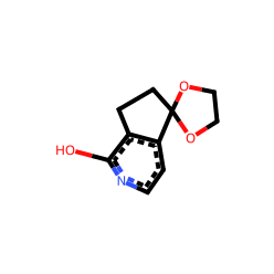 Oc1nccc2c1CCC21OCCO1